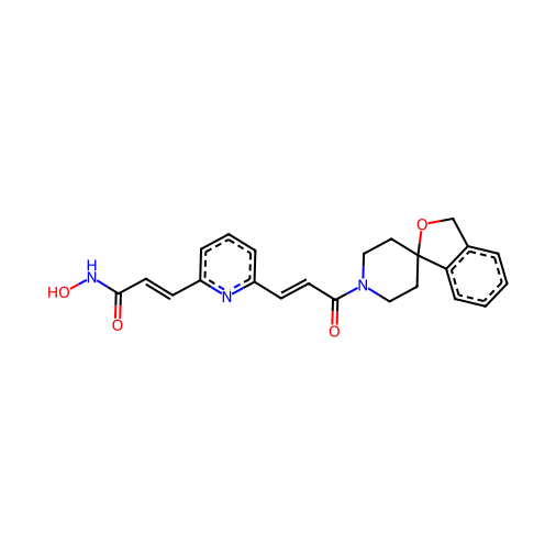 O=C(/C=C/c1cccc(/C=C/C(=O)N2CCC3(CC2)OCc2ccccc23)n1)NO